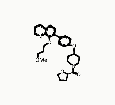 COCCCOc1c(-c2ccc(OC3CCN(C(=O)[C@H]4CCCO4)CC3)cc2)ccc2cccnc12